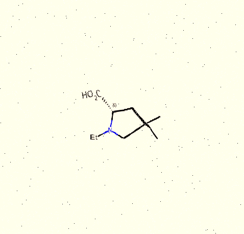 CCN1CC(C)(C)C[C@H]1C(=O)O